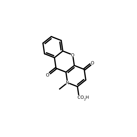 Cn1c(C(=O)O)cc(=O)c2oc3ccccc3c(=O)c21